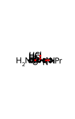 CC(C)N1CCN(c2ccc(-c3ccc(S(=O)(=O)N4CCC(N)CC4)cc3)cn2)CC1.Cl.Cl.Cl